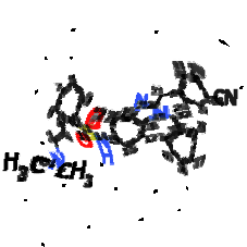 CN(C)CCc1ccccc1S(=O)(=O)Nc1ccc2c(c1)nc(Cc1ccc(C#N)cc1)n2Cc1ccccc1